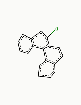 Clc1cc2ccccc2c2c1ccc1ccccc12